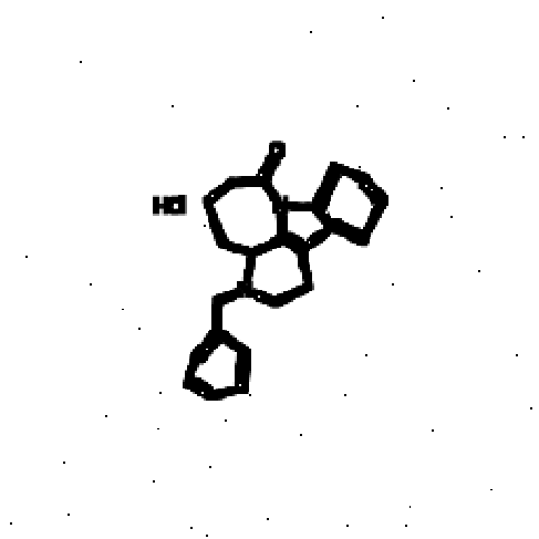 Cl.O=C1CCCC2c3c(c4ccccc4n31)CCN2Cc1ccccc1